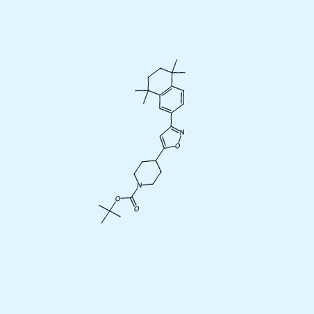 CC(C)(C)OC(=O)N1CCC(c2cc(-c3ccc4c(c3)C(C)(C)CCC4(C)C)no2)CC1